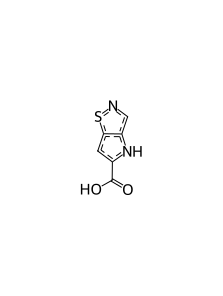 O=C(O)c1cc2sncc2[nH]1